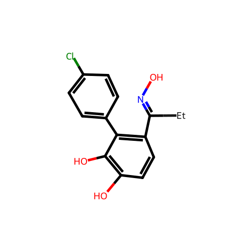 CCC(=NO)c1ccc(O)c(O)c1-c1ccc(Cl)cc1